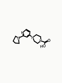 O=C(O)N1CCN(c2ccnc(N3CCCC3)c2)CC1